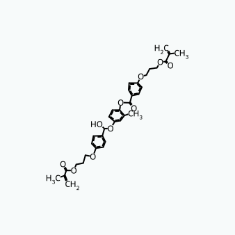 C=C(C)C(=O)OCCCOc1ccc(C(=O)Oc2ccc(OC(O)c3ccc(OCCCOC(=O)C(=C)C)cc3)cc2C)cc1